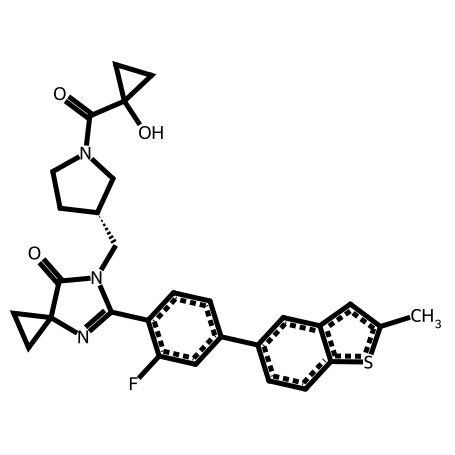 Cc1cc2cc(-c3ccc(C4=NC5(CC5)C(=O)N4C[C@@H]4CCN(C(=O)C5(O)CC5)C4)c(F)c3)ccc2s1